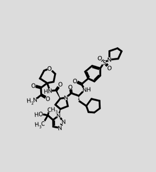 CC(C)(O)c1cnnn1[C@H]1C[C@@H](C(=O)NC2(C(=O)C(N)=O)CCOCC2)N(C(=O)[C@@H](CC2CCCCC2)NC(=O)c2ccc(S(=O)(=O)N3CCCC3)cc2)C1